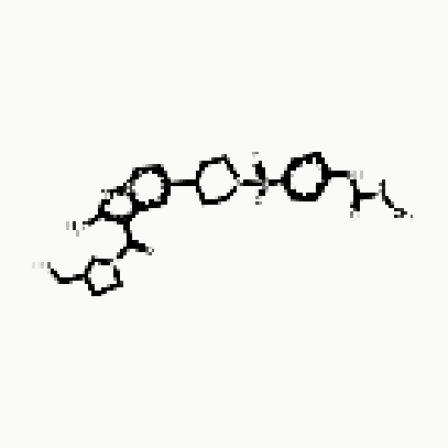 CNC(=O)Nc1ccc(S(=O)(=O)N2CCC(c3ccn4nc(C)c(C(=O)N5CCC(CO)C5)c4c3)CC2)cc1